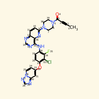 CC#CC(=O)N1CCN(c2ccc3ncnc(Nc4ccc(Oc5ccn6ncnc6c5)c(Cl)c4F)c3n2)CC1